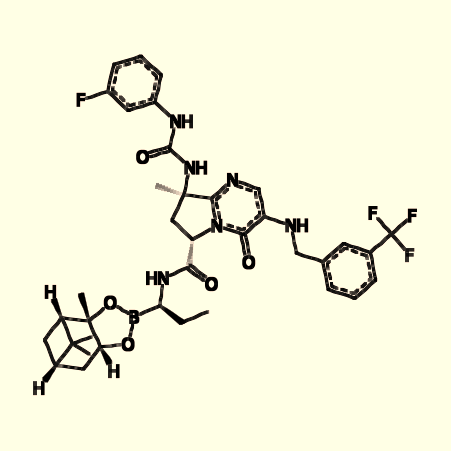 CC[C@H](NC(=O)[C@@H]1C[C@@](C)(NC(=O)Nc2cccc(F)c2)c2ncc(NCc3cccc(C(F)(F)F)c3)c(=O)n21)B1O[C@@H]2C[C@@H]3C[C@@H](C3(C)C)[C@]2(C)O1